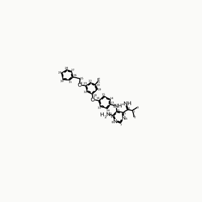 CC(C)C(=N)c1ncnc(N)c1Nc1ccc(Oc2cc(F)cc(OCc3ccccc3)c2)cc1